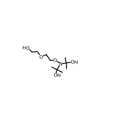 CC(C)(O)N(OCCOCCO)C(C)(C)O